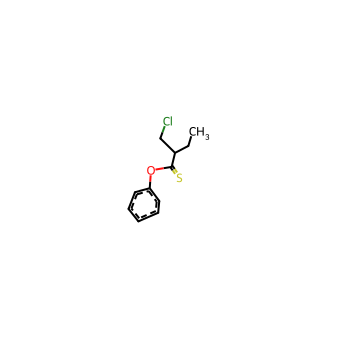 CCC(CCl)C(=S)Oc1ccccc1